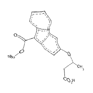 CCCCOC(=O)c1c2ccc(OC(C)CC(=O)O)cc2n2ccccc12